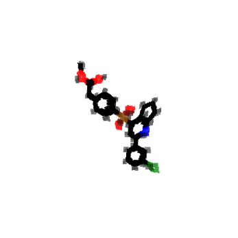 COC(=O)Cc1ccc(S(=O)(=O)c2cc(-c3cccc(Cl)c3)nc3c2CCC3)cc1